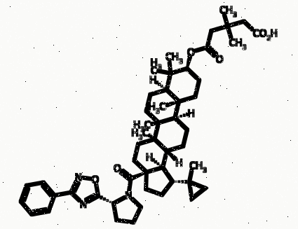 CC(C)(CC(=O)O)CC(=O)O[C@H]1CC[C@]2(C)[C@H]3CC[C@@H]4[C@H]5[C@H](C6(C)CC6)CC[C@]5(C(=O)N5CCC[C@@H]5c5nc(-c6ccccc6)no5)CC[C@@]4(C)[C@]3(C)CC[C@H]2C1(C)C